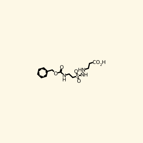 O=C(O)CCNNS(=O)(=O)CCNC(=O)OCc1ccccc1